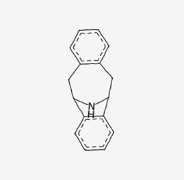 c1ccc2c(c1)CC1NC(C2)c2ccccc21